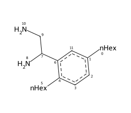 CCCCCCc1ccc(CCCCCC)c(C(N)CN)c1